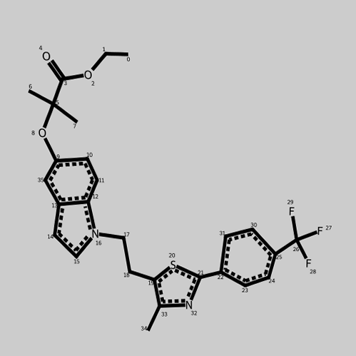 CCOC(=O)C(C)(C)Oc1ccc2c(ccn2CCc2sc(-c3ccc(C(F)(F)F)cc3)nc2C)c1